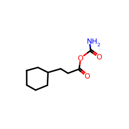 NC(=O)OC(=O)CCC1CCCCC1